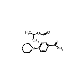 CC(C)OC=O.NC(=S)c1ccc(N2CCCCC2)cc1